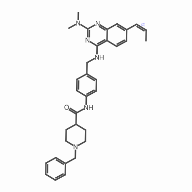 C/C=C\c1ccc2c(NCc3ccc(NC(=O)C4CCN(Cc5ccccc5)CC4)cc3)nc(N(C)C)nc2c1